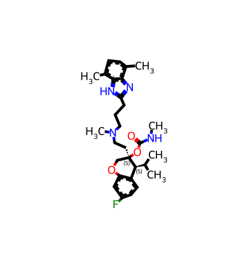 CNC(=O)O[C@]1(CCN(C)CCCc2nc3c(C)ccc(C)c3[nH]2)COc2cc(F)ccc2[C@@H]1C(C)C